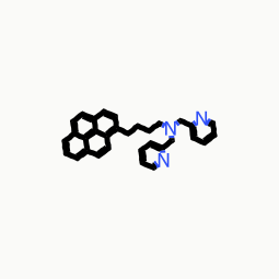 c1ccc(CN(CCCCc2ccc3ccc4cccc5ccc2c3c45)Cc2ccccn2)nc1